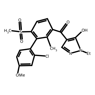 CCn1ncc(C(=O)c2ccc(S(C)(=O)=O)c(-c3ccc(OC)cc3Cl)c2C)c1O